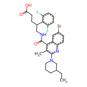 CCC1CCCN(c2nc3ccc(Br)cc3c(C(=O)NCC(CCC(=O)O)c3c(F)cccc3F)c2C)C1